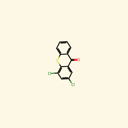 O=c1c2ccccc2sc2c(Cl)cc(Cl)cc12